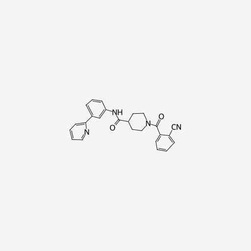 N#Cc1ccccc1C(=O)N1CCC(C(=O)Nc2cccc(-c3ccccn3)c2)CC1